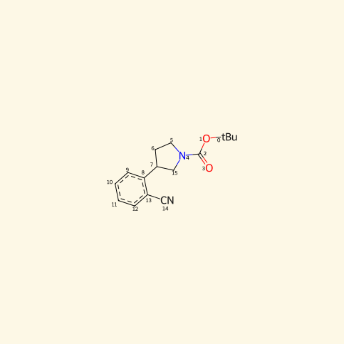 CC(C)(C)OC(=O)N1CCC(c2ccccc2C#N)C1